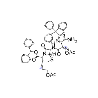 CC(=O)OC/C=C\C1=C(C(=O)OC(c2ccccc2)c2ccccc2)N2C(=O)C(NC(=O)/C(=N\OC(C)=O)c3nc(C(c4ccccc4)(c4ccccc4)c4ccccc4)sc3N)[C@H]2SC1